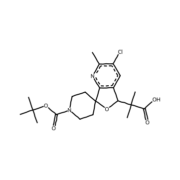 Cc1nc2c(cc1Cl)C(C(C)(C)C(=O)O)OC21CCN(C(=O)OC(C)(C)C)CC1